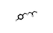 O=C(CI)COCc1ccc(F)cc1